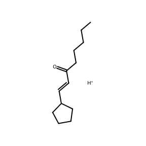 CCCCCC(=O)C=CC1CCCC1.[H+]